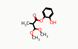 COC(OC)C(C)C(=O)Oc1ccccc1O